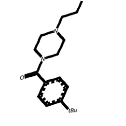 CC(C)(C)c1ccc(C(=O)N2CCN(CCC#N)CC2)cc1